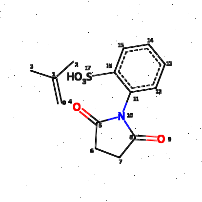 C=C(C)C.O=C1CCC(=O)N1c1ccccc1S(=O)(=O)O